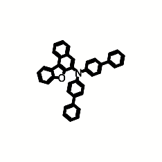 c1ccc(-c2ccc(N(c3ccc(-c4ccccc4)cc3)c3cc4ccccc4c4c3oc3ccccc34)cc2)cc1